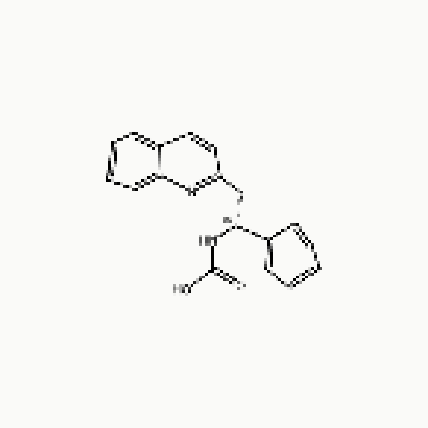 O=C(O)N[C@H](Cc1ccc2ccccc2n1)c1ccccc1